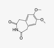 COc1cc2c(cc1OC)CC(=O)NC(=O)C2